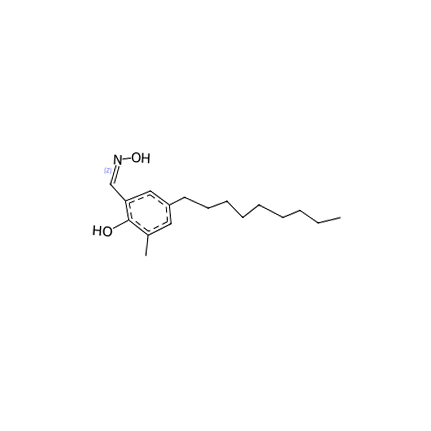 CCCCCCCCCc1cc(C)c(O)c(/C=N\O)c1